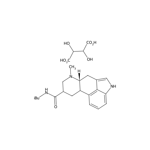 CCC(C)NC(=O)C1CC2c3cccc4[nH]cc(c34)C[C@H]2N(C)C1.O=C(O)C(O)C(O)C(=O)O